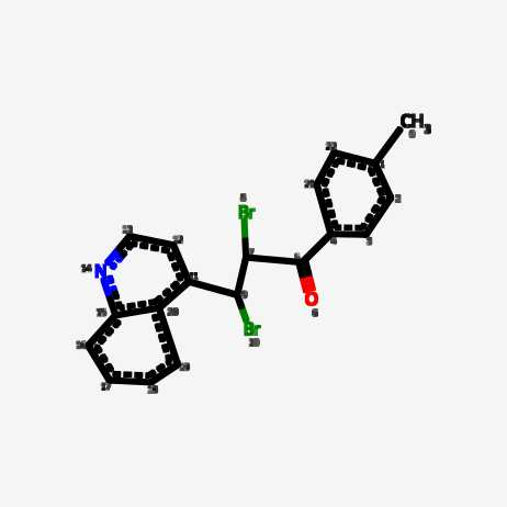 Cc1ccc(C(=O)C(Br)C(Br)c2ccnc3ccccc23)cc1